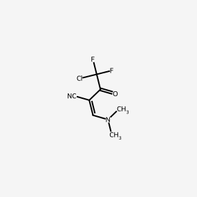 CN(C)C=C(C#N)C(=O)C(F)(F)Cl